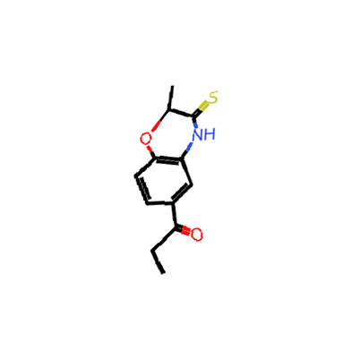 CCC(=O)c1ccc2c(c1)NC(=S)C(C)O2